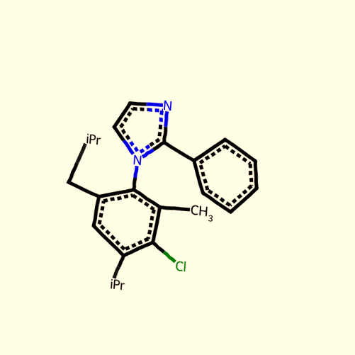 Cc1c(Cl)c(C(C)C)cc(CC(C)C)c1-n1ccnc1-c1ccccc1